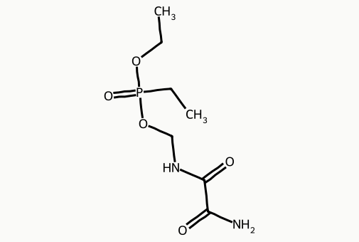 CCOP(=O)(CC)OCNC(=O)C(N)=O